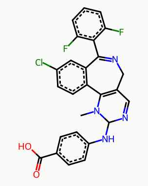 CN1C2=C(C=NC1Nc1ccc(C(=O)O)cc1)CN=C(c1c(F)cccc1F)c1cc(Cl)ccc12